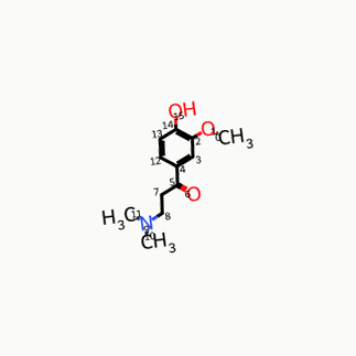 COc1cc(C(=O)CCN(C)C)ccc1O